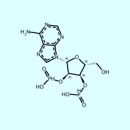 Nc1ncnc2c1ncn2[C@@H]1O[C@H](CO)[C@@H](O[PH](=O)O)[C@H]1O[PH](=O)O